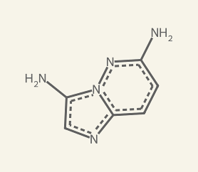 Nc1ccc2ncc(N)n2n1